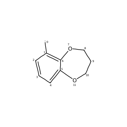 [CH2]c1cccc2c1OCCCO2